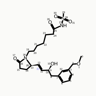 COCc1cccc(C[C@H](O)/C=C/[C@H]2CCC(=O)N2CCCCCCC(=O)NS(C)(=O)=O)c1